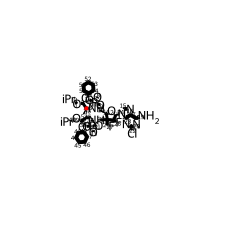 CC(C)OC(=O)[C@H](C)NP(=O)(OC[C@H]1O[C@@H](n2cnc3c(N)nc(Cl)nc32)C(F)(F)C1(C)COP(=O)(N[C@@H](C)C(=O)OC(C)C)Oc1ccccc1)Oc1ccccc1